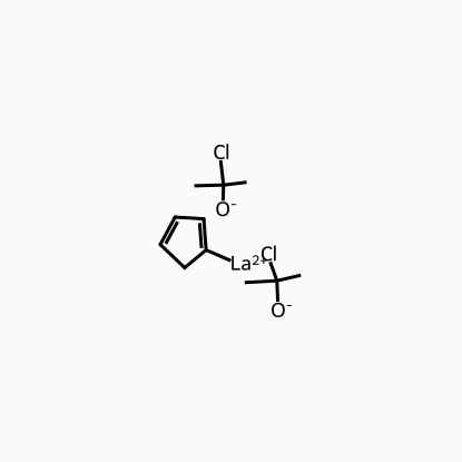 CC(C)([O-])Cl.CC(C)([O-])Cl.[La+2][C]1=CC=CC1